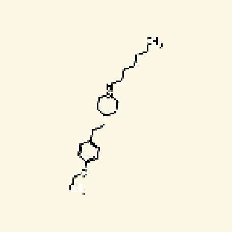 CCCCCCC[Si@H]1CC[C@H](CCc2ccc(OCC)cc2)CC1